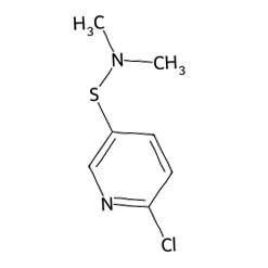 CN(C)Sc1ccc(Cl)nc1